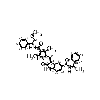 COCC(NC(=O)c1c(C)[nH]c(/C=C2\C(=O)Nc3ccc(C(=O)NC(C)c4ccccc4)cc32)c1C)c1ccccc1